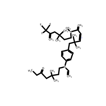 C=CN(CCC(C)(C)CC(=O)CC)c1ccc(CC(C)(C)/C=C\C(=C)N(C)CCC(C)(C)CC(=C)C(F)(F)F)cc1